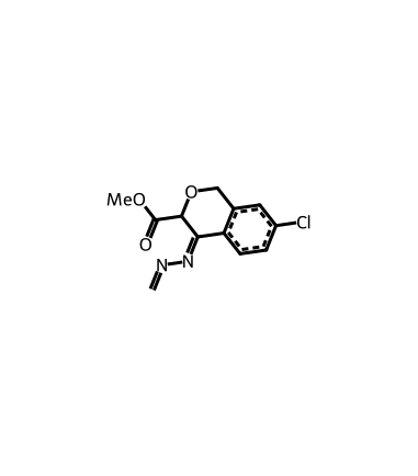 C=N/N=C1/c2ccc(Cl)cc2COC1C(=O)OC